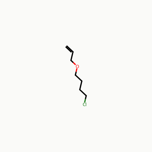 C=CCOCCCCCl